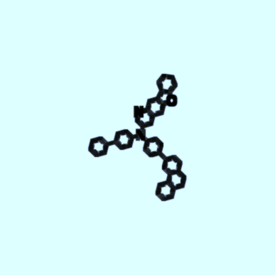 c1ccc(-c2ccc(N(c3ccc(-c4ccc5ccc6ccccc6c5c4)cc3)c3cnc4cc5c(cc4c3)oc3ccccc35)cc2)cc1